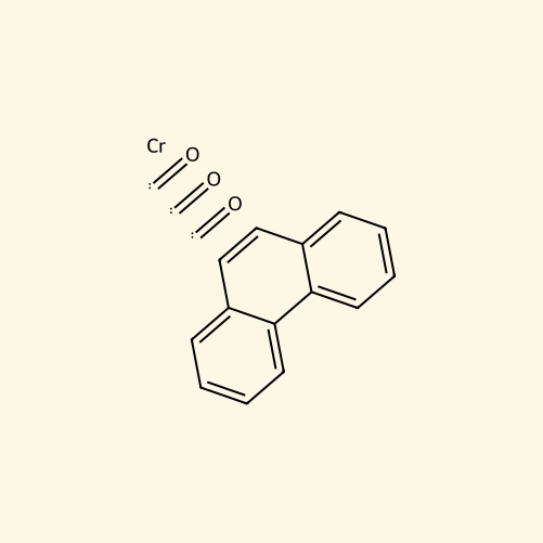 [C]=O.[C]=O.[C]=O.[Cr].c1ccc2c(c1)ccc1ccccc12